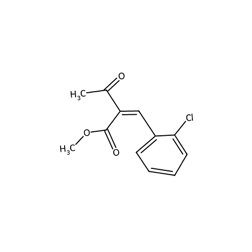 COC(=O)/C(=C\c1ccccc1Cl)C(C)=O